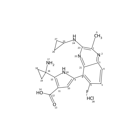 Cc1nc2ccc(F)c(-c3cc(C(=O)O)c(C4(N)CC4)[nH]3)c2nc1NC1CC1.Cl